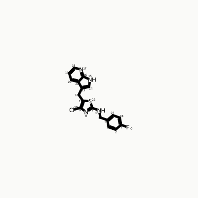 Fc1ccc(CNc2nc(Cl)c(Cc3c[nH]c4ncccc34)s2)cc1